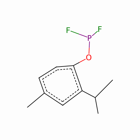 Cc1ccc(OP(F)F)c(C(C)C)c1